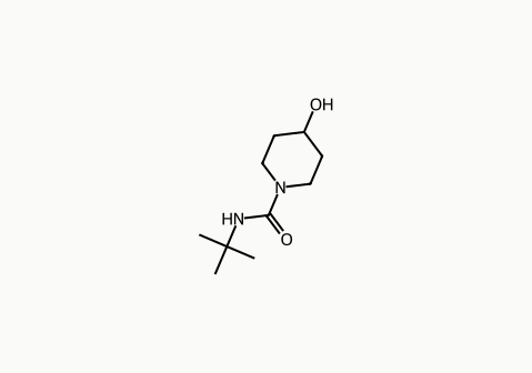 CC(C)(C)NC(=O)N1CCC(O)CC1